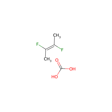 CC(F)=C(C)F.O=C(O)O